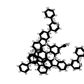 N#Cc1cc(-n2c3cc(-c4ccnc(-c5ccccc5)c4)ccc3c3ccc(-c4ccnc(-c5ccccc5)c4)cc32)c(-c2c(F)c(F)c(F)c(F)c2F)c(-n2c3cc(-c4ccnc(-c5ccccc5)c4)ccc3c3ccc(-c4ccnc(-c5ccccc5)c4)cc32)c1